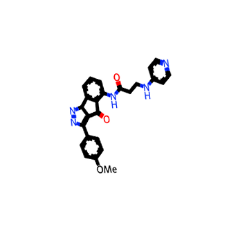 COc1ccc(C2=C3C(=O)c4c(NC(=O)CCNc5ccncc5)cccc4C3N=N2)cc1